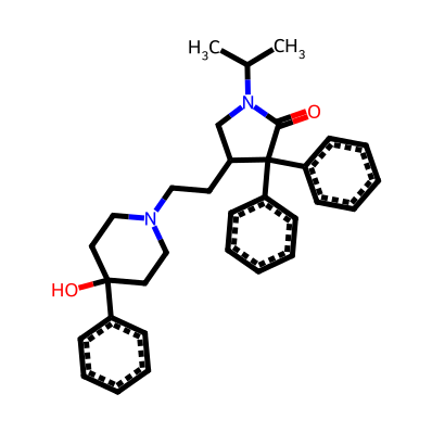 CC(C)N1CC(CCN2CCC(O)(c3ccccc3)CC2)C(c2ccccc2)(c2ccccc2)C1=O